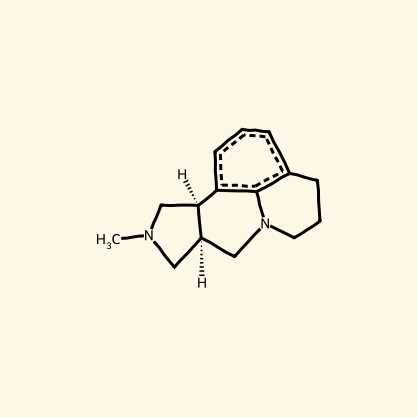 CN1C[C@@H]2CN3CCCc4cccc(c43)[C@@H]2C1